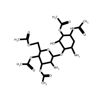 CC(=O)NC1CC(N)C(OC2OC(COC(C)=O)C(OC(C)=O)C(OC(C)=O)C2N)C(O)C1OC(C)=O